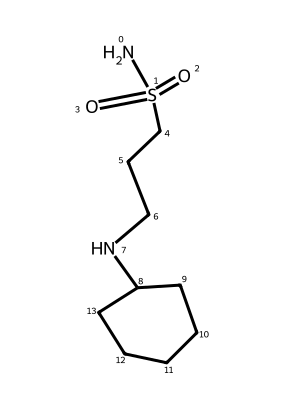 NS(=O)(=O)CCCNC1CCCCC1